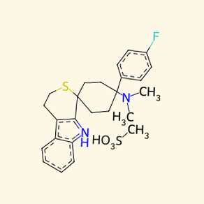 CN(C)C1(c2ccc(F)cc2)CCC2(CC1)SCCc1c2[nH]c2ccccc12.CS(=O)(=O)O